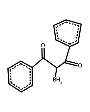 BC(C(=O)c1ccccc1)C(=O)c1ccccc1